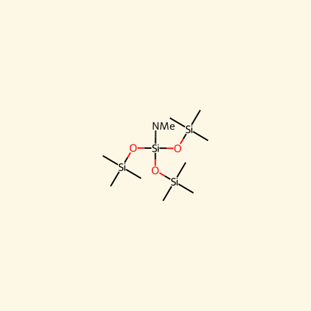 CN[Si](O[Si](C)(C)C)(O[Si](C)(C)C)O[Si](C)(C)C